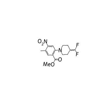 COC(=O)c1cc(C)c([N+](=O)[O-])cc1N1CCC(=C(F)F)CC1